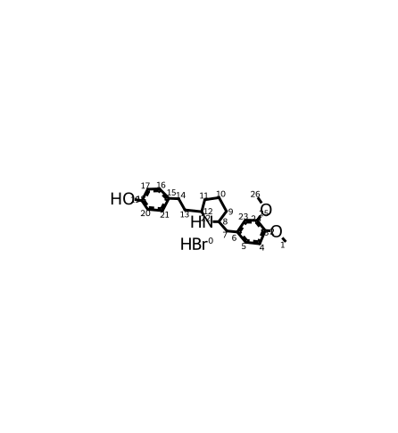 Br.COc1ccc(CC2CCCC(CCc3ccc(O)cc3)N2)cc1OC